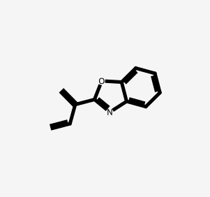 C=CC(=C)c1nc2ccccc2o1